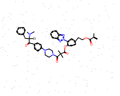 C=C(C)C(=O)OCCc1ccc(OC(=O)C(C)(C)C(=O)N2CCN(c3ccc(C(=O)C(CC)(Cc4ccccc4)N(C)C)cc3)CC2)c(-n2nc3ccccc3n2)c1